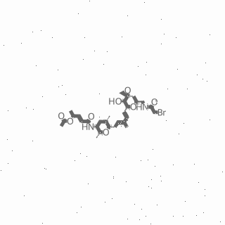 CC(=O)OC(C)C=CC(=O)N[C@@H]1C[C@H](C)[C@H](CC=C(C)C=C[C@H]2O[C@H](CNC(=O)CBr)C[C@@]3(CO3)[C@@H]2O)O[C@@H]1C